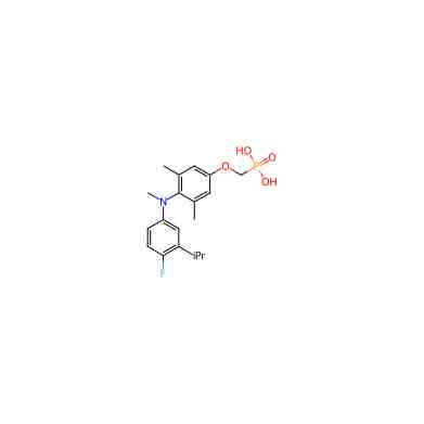 Cc1cc(OCP(=O)(O)O)cc(C)c1N(C)c1ccc(F)c(C(C)C)c1